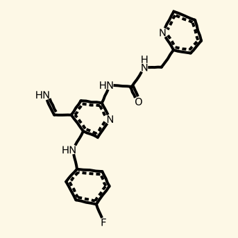 N=Cc1cc(NC(=O)NCc2ccccn2)ncc1Nc1ccc(F)cc1